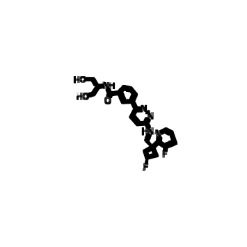 O=C(NC(CO)CO)c1cccc(-c2ccc(NC[C@]3(c4ncccc4F)C[C@H](F)C3)nn2)c1